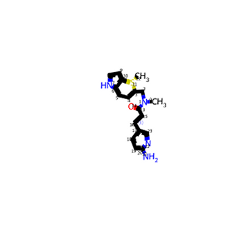 CN(CC1=CC=c2[nH]ccc2=S1C)C(=O)/C=C/c1ccc(N)nc1